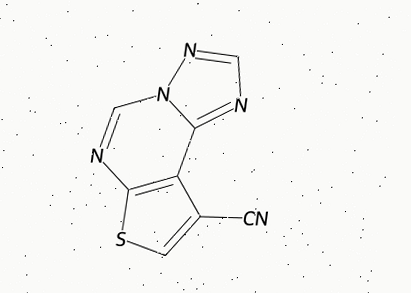 N#Cc1csc2ncn3ncnc3c12